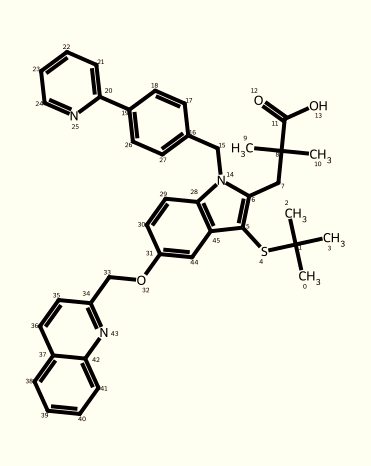 CC(C)(C)Sc1c(CC(C)(C)C(=O)O)n(Cc2ccc(-c3ccccn3)cc2)c2ccc(OCc3ccc4ccccc4n3)cc12